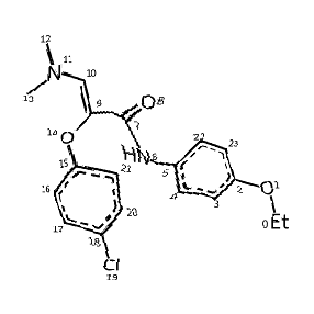 CCOc1ccc(NC(=O)/C(=C/N(C)C)Oc2ccc(Cl)cc2)cc1